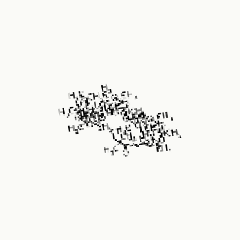 CCC(C)(C)C(=O)OCCC[Si](C)(C)O[Si](C)(C)O[Si](C)(C)O[Si](C)(C)O[Si](C)(C)O[Si](C)(C)O[Si](C)(C)O[Si](C)(C)O[Si](C)(C)O[Si](C)(C)O[Si](C)(C)O[Si](C)(C)O[Si](C)(C)C